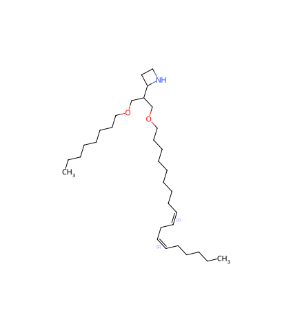 CCCCC/C=C\C/C=C\CCCCCCCCOCC(COCCCCCCCC)C1CCN1